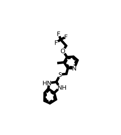 Cc1c(OCC(F)(F)F)ccnc1CSC1Nc2ccccc2N1